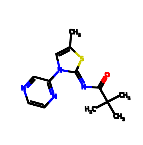 Cc1cn(-c2cnccn2)/c(=N/C(=O)C(C)(C)C)s1